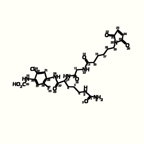 NC(=O)NCCCC(NC(=O)CNC(=O)CCCCCN1C(=O)C=CC1=O)C(=O)Nc1cc(Cl)c(NC(=O)O)cc1F